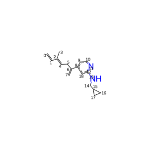 C=C/C(C)=C/CC(=C)c1ccnc(NCC2CC2)c1